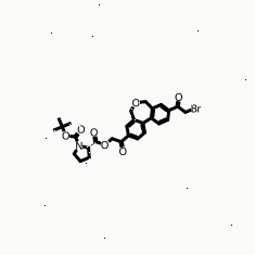 CC(C)(C)OC(=O)N1CCC[C@H]1C(=O)OCC(=O)c1ccc2c(c1)COCc1cc(C(=O)CBr)ccc1-2